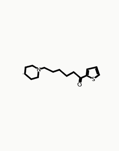 O=C(CCCCCN1CC[CH]CC1)c1cccs1